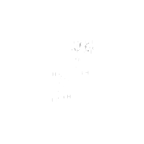 CC(C)=CCCC(C)=CCCC(C)=CCOC[PH](=O)C(O)P(=O)(O)O